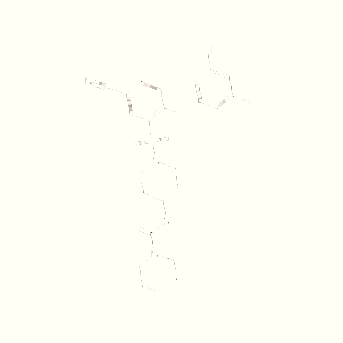 N#Cc1ccc(Oc2cc(Cl)cc(Cl)c2)c(S(=O)(=O)N2CCC(NC(=O)N3CCOCC3)CC2)c1